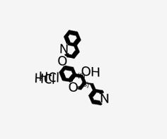 Cl.Cl.O[C@@H]1c2cc(Oc3ccc4ccccc4n3)ccc2OC[C@@H]1Cc1cccnc1